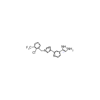 N/C=C(\N)c1ccnc(-c2cn(Cc3cccc(C(F)(F)F)c3Cl)cn2)c1